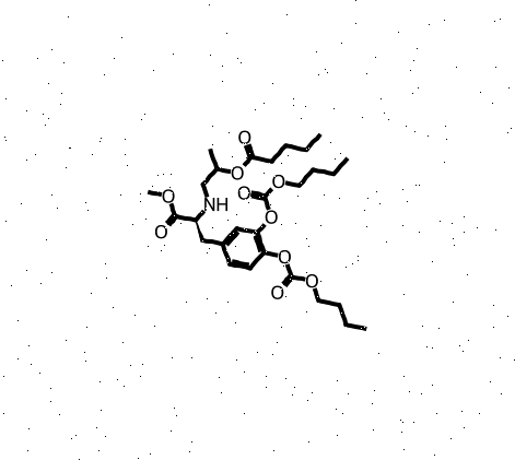 CCCCOC(=O)Oc1ccc(C[C@H](NCC(C)OC(=O)CCCC)C(=O)OC)cc1OC(=O)OCCCC